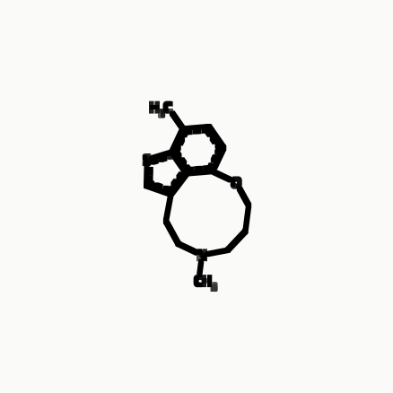 Cc1ccc2c3c(csc13)CCN(C)CCCO2